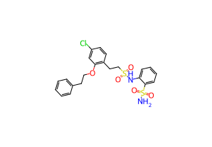 NS(=O)(=O)c1ccccc1NS(=O)(=O)CCc1ccc(Cl)cc1OCCc1ccccc1